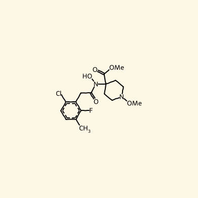 COC(=O)C1(N(O)C(=O)Cc2c(Cl)ccc(C)c2F)CCN(OC)CC1